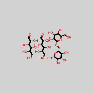 O=C[C@H](O)[C@@H](O)[C@@H](O)[C@H](O)CO.O=C[C@H](O)[C@@H](O)[C@H](O)[C@H](O)CO.OC[C@H]1O[C@H](OC[C@H]2O[C@@H](O)[C@H](O)[C@@H](O)[C@@H]2O)[C@H](O)[C@@H](O)[C@H]1O